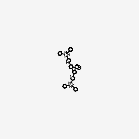 c1ccc(-c2nc(-c3ccccc3)nc(-c3ccc(-c4ccc5c(c4)-c4ccc(-c6ccc(-c7nc(-c8ccccc8)nc(-c8ccccc8)n7)cn6)cc4C54C5CC6CC(C5)CC4C6)nc3)n2)cc1